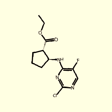 CCOC(=O)[C@H]1CCC[C@@H]1Nc1nc(Cl)ncc1F